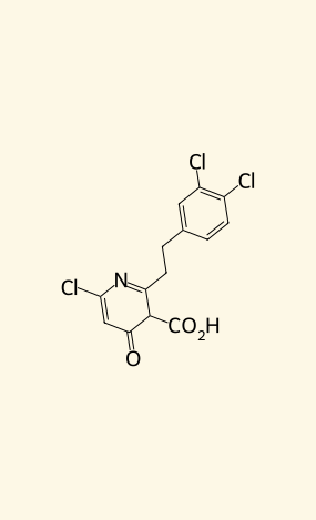 O=C(O)C1C(=O)C=C(Cl)N=C1CCc1ccc(Cl)c(Cl)c1